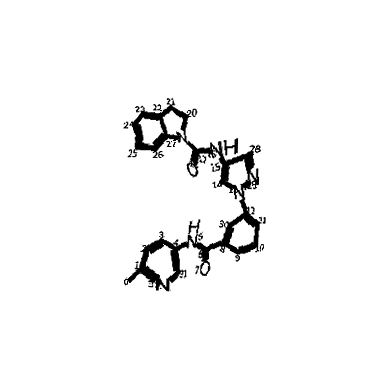 Cc1ccc(NC(=O)c2cccc(-n3cc(NC(=O)N4CCc5ccccc54)cn3)c2)cn1